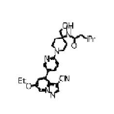 CCOc1cc(-c2ccc(N3CCC(CO)(NC(=O)CC(C)C)CC3)nc2)c2c(C#N)cnn2c1